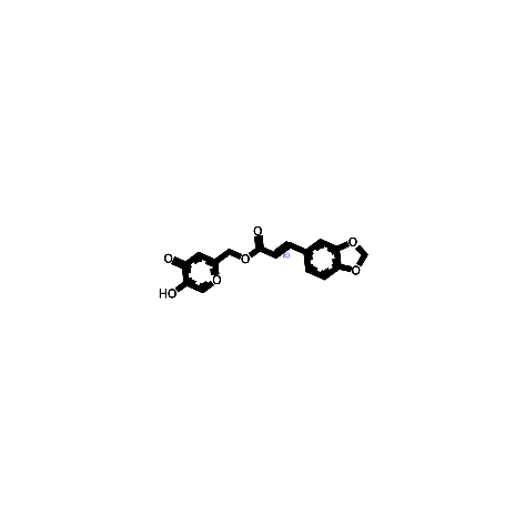 O=C(/C=C/c1ccc2c(c1)OCO2)OCc1cc(=O)c(O)co1